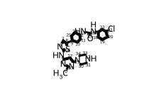 Cc1nc(Nc2ncc(-c3ccc(NC(=O)Nc4cccc(Cl)c4)cc3)s2)cc(N2CCNCC2)n1